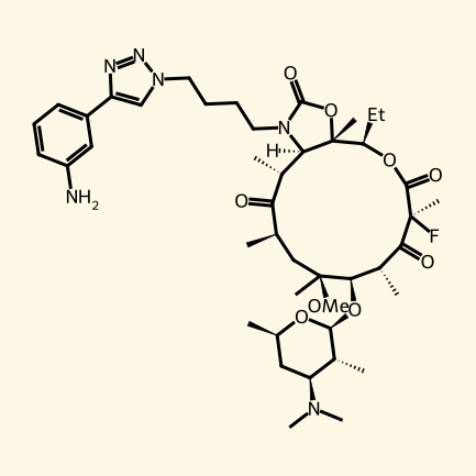 CC[C@H]1OC(=O)[C@@](C)(F)C(=O)[C@H](C)[C@@H](O[C@@H]2O[C@H](C)C[C@H](N(C)C)[C@H]2C)[C@@](C)(OC)C[C@@H](C)C(=O)[C@H](C)[C@H]2N(CCCCn3cc(-c4cccc(N)c4)nn3)C(=O)O[C@]12C